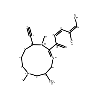 C#CC1CCCN(C)CC(CCCC)C/N=C(/C(=C)/C=C\C(Cl)=C/CC)N1C